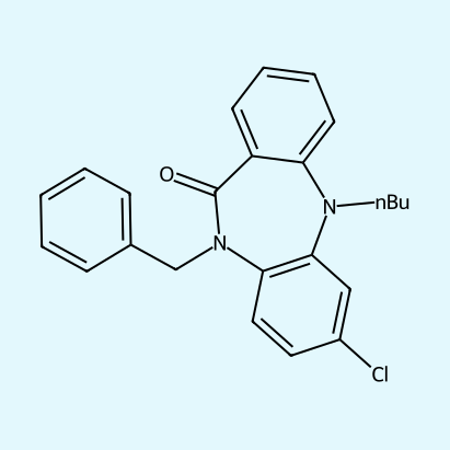 [CH2]CCCN1c2ccccc2C(=O)N(Cc2ccccc2)c2ccc(Cl)cc21